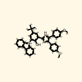 COc1ccc(-c2nc(-c3cc(C(C)(C)C)cc(-n4c5ccccc5c5ccccc54)c3O)[nH]c2-c2ccc(OC)cc2)cc1